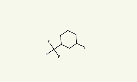 FC(F)(F)C1CCCC(I)C1